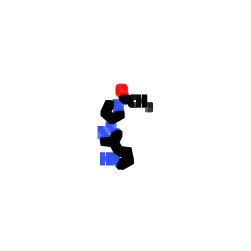 CC(=O)N1CC[C@H](n2cc(-c3ccc[nH]3)cn2)C1